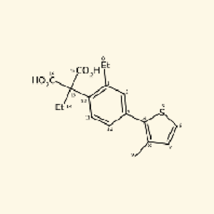 CCc1cc(-c2sccc2C)ccc1C(CC)(C(=O)O)C(=O)O